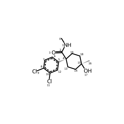 CNC(=O)[C@]1(c2ccc(Cl)c(Cl)c2)CC[C@](C)(O)CC1